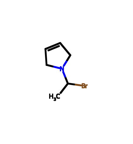 CC(Br)N1CC=CC1